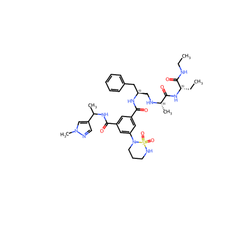 CCNC(=O)[C@H](CC)NC(=O)[C@H](C)NC[C@H](Cc1ccccc1)NC(=O)c1cc(C(=O)NC(C)c2cnn(C)c2)cc(N2CCCNS2(=O)=O)c1